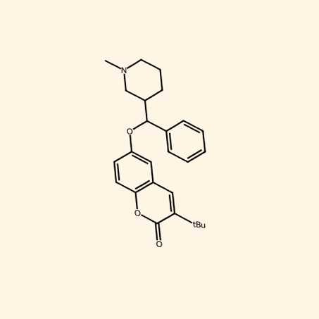 CN1CCCC(C(Oc2ccc3oc(=O)c(C(C)(C)C)cc3c2)c2ccccc2)C1